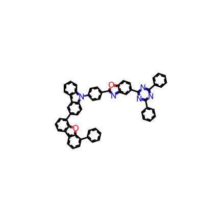 c1ccc(-c2nc(-c3ccccc3)nc(-c3ccc4oc(-c5ccc(-n6c7ccccc7c7cc(-c8cccc9c8oc8c(-c%10ccccc%10)cccc89)ccc76)cc5)nc4c3)n2)cc1